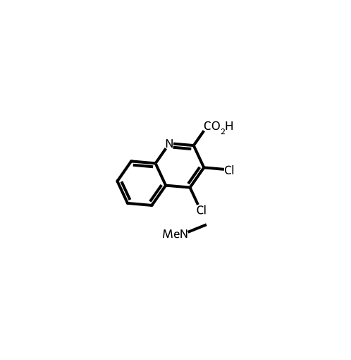 CNC.O=C(O)c1nc2ccccc2c(Cl)c1Cl